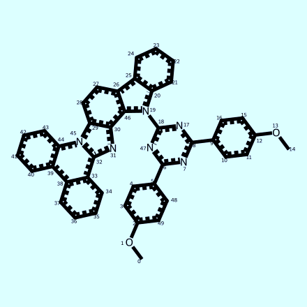 COc1ccc(-c2nc(-c3ccc(OC)cc3)nc(-n3c4ccccc4c4ccc5c(nc6c7ccccc7c7ccccc7n56)c43)n2)cc1